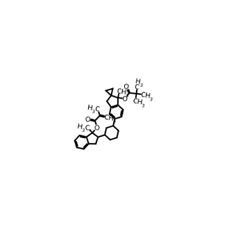 C=C(C)C(=O)OC1(C)c2ccccc2CC1C1CCCC(c2ccc3c(c2)CC2(CC2)C3(C)OC(=O)C(C)(C)C)C1